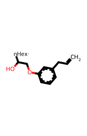 C=CCc1cccc(OCC(O)[CH]CCCCC)c1